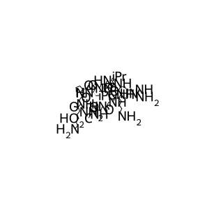 CC(C)C[C@H](NC(=O)[C@@H]1CCCN1C(=O)CNC(=O)[C@@H](N)CCCCN)C(=O)NCC(=O)N[C@H](C(=O)N[C@@H](CCCNC(=N)N)C(=O)N[C@@H](CCCCN)C(=O)NCC(=O)NCC(=O)NCC(=O)O)C(C)C